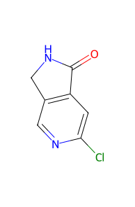 O=C1NCc2cnc(Cl)cc21